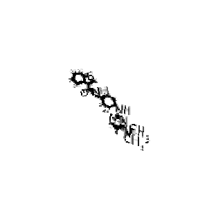 CN(C)c1ccnc(NC2CCC(CNC(=O)c3csc4ccccc34)CC2)n1